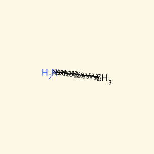 CCCCCCCC/C=C/CCCC/C=C/CCCCCCCCN